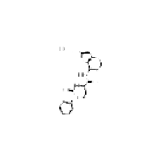 CC(C)CC(NC(=O)Oc1ccccc1)C(=O)NC1=CCCc2cc(C(=O)O)oc21